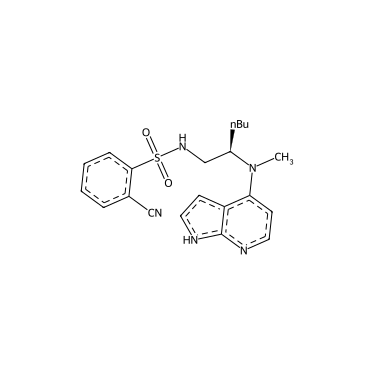 CCCC[C@H](CNS(=O)(=O)c1ccccc1C#N)N(C)c1ccnc2[nH]ccc12